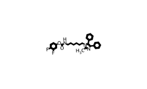 Cc1nc(-c2ccccc2)c(-c2ccccc2)n1CCCCCCNC(=O)Oc1ccc(F)c(F)c1